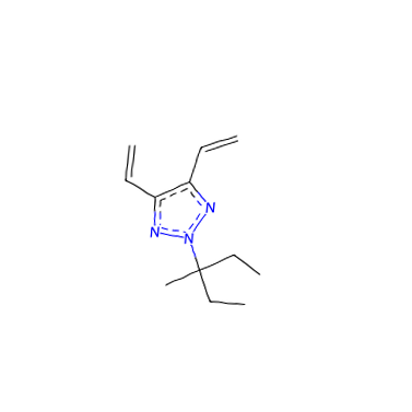 C=Cc1nn(C(C)(CC)CC)nc1C=C